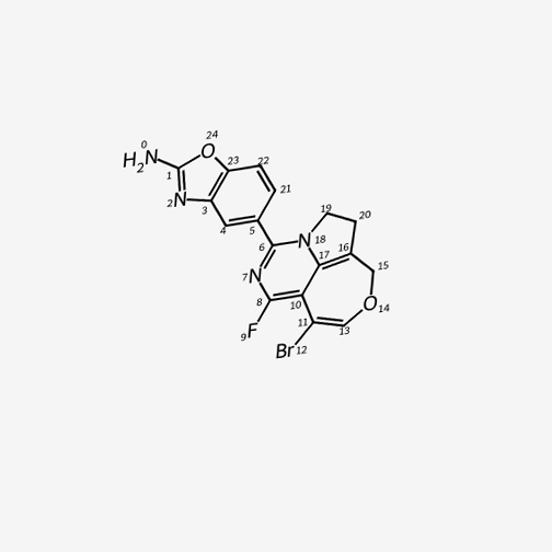 Nc1nc2cc(C3=NC(F)=C4C(Br)=COCC5=C4N3CC5)ccc2o1